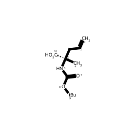 C=CC[C@@](C)(NC(=O)OC(C)(C)C)C(=O)O